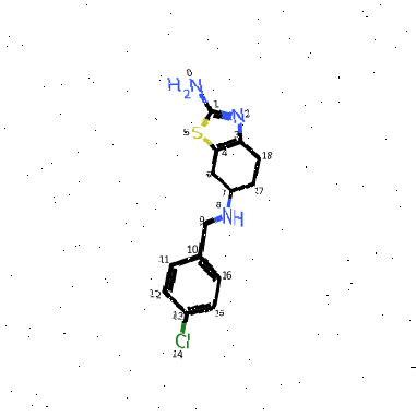 Nc1nc2c(s1)CC(NCc1ccc(Cl)cc1)CC2